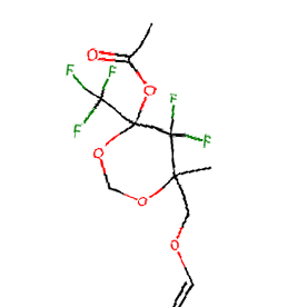 C=COCC1(C)OCOC(OC(C)=O)(C(F)(F)F)C1(F)F